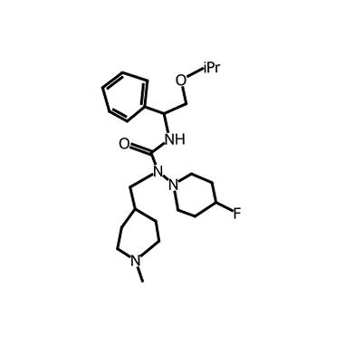 CC(C)OCC(NC(=O)N(CC1CCN(C)CC1)N1CCC(F)CC1)c1ccccc1